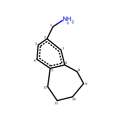 NCc1ccc2c(c1)CCCCC2